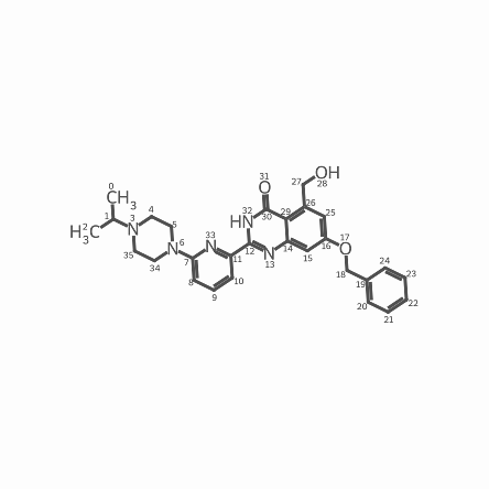 CC(C)N1CCN(c2cccc(-c3nc4cc(OCc5ccccc5)cc(CO)c4c(=O)[nH]3)n2)CC1